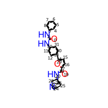 O=C(Nc1ccccc1)Nc1ccc(-c2ccc(C(=O)NC3CN4CCC3CC4)o2)cc1